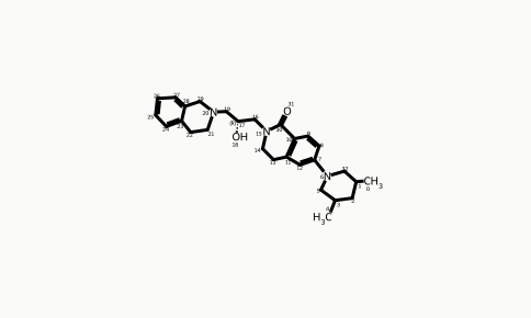 CC1CC(C)CN(c2ccc3c(c2)CCN(C[C@H](O)CN2CCc4ccccc4C2)C3=O)C1